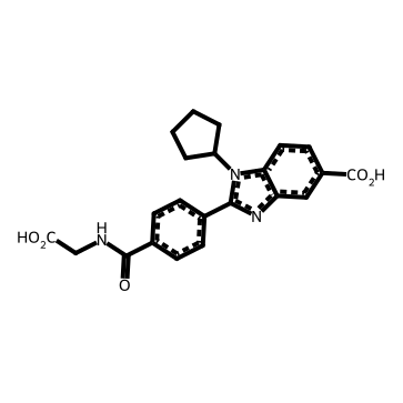 O=C(O)CNC(=O)c1ccc(-c2nc3cc(C(=O)O)ccc3n2C2CCCC2)cc1